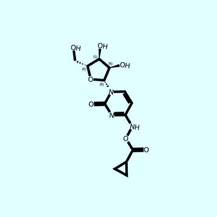 O=C(ONc1ccn([C@@H]2O[C@H](CO)[C@@H](O)[C@H]2O)c(=O)n1)C1CC1